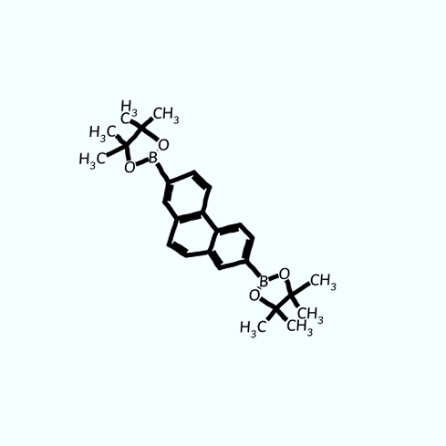 CC1(C)OB(c2ccc3c(ccc4cc(B5OC(C)(C)C(C)(C)O5)ccc43)c2)OC1(C)C